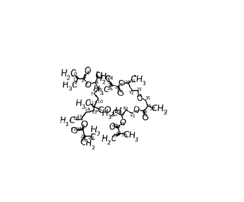 C=C(C)C(=O)OC(C)CCCC(C)(CCC(C)OC(=O)C(=C)C)C(=O)O.C=C(C)C(=O)OC(C)CCOCC(C)C(=O)OCCC(C)OC(=O)C(=C)C